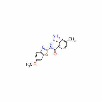 Cc1ccc(C(=O)Nc2nc3ccc(OC(F)(F)F)cc3s2)c(CN)c1